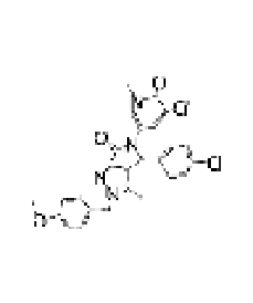 COc1ccc(Cn2nc3c(c2C)C(c2ccc(Cl)cc2)N(c2cc(Cl)c(=O)n(C)c2)C3=O)cc1